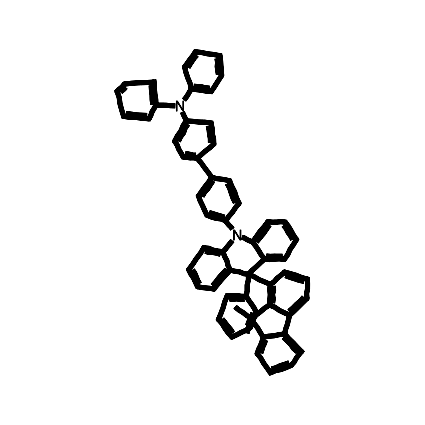 CC1(C)c2ccccc2-c2cccc(C3(c4ccccc4)c4ccccc4N(c4ccc(-c5ccc(N(c6ccccc6)c6ccccc6)cc5)cc4)c4ccccc43)c21